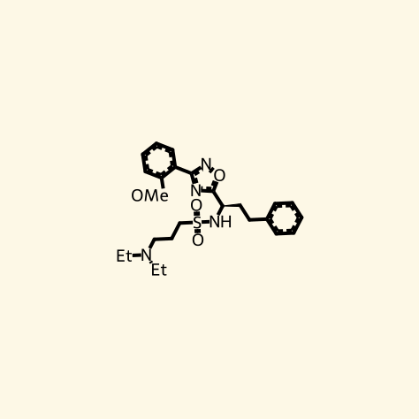 CCN(CC)CCCS(=O)(=O)N[C@H](CCc1ccccc1)c1nc(-c2ccccc2OC)no1